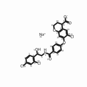 O=C(NCC(O)c1ccc(Cl)cc1Cl)c1ccc(Oc2cc3c(cc2Cl)C(C(=O)[O-])CCO3)cc1.[Na+]